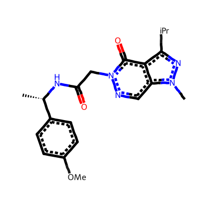 COc1ccc([C@H](C)NC(=O)Cn2ncc3c(c(C(C)C)nn3C)c2=O)cc1